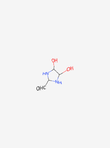 O=CC1NC(O)C(O)N1